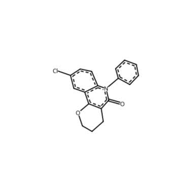 O=c1c2c(c3cc(Cl)ccc3n1-c1ccccc1)OCCC2